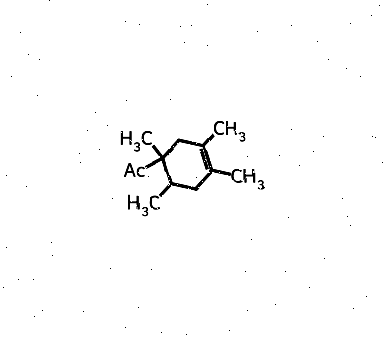 CC(=O)C1(C)CC(C)=C(C)CC1C